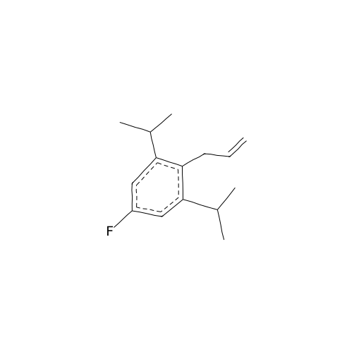 C=CCc1c(C(C)C)cc(F)cc1C(C)C